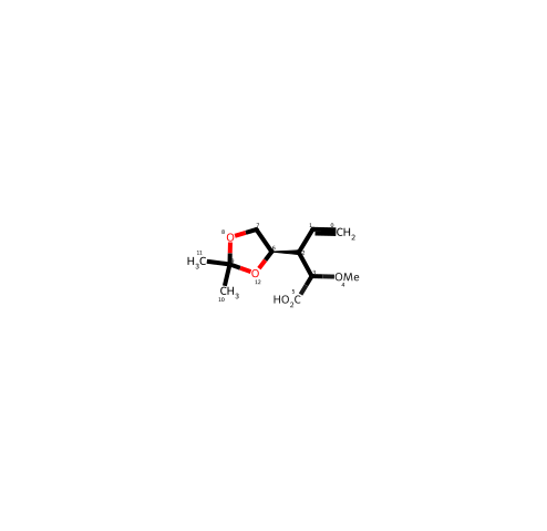 C=CC(C(OC)C(=O)O)[C@@H]1COC(C)(C)O1